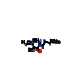 CCC(C(=O)NCCCNC)N(C)C